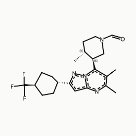 Cc1nc2cc([C@H]3CC[C@H](C(F)(F)F)CC3)nn2c([C@@H]2CN(C=O)CC[C@H]2C)c1C